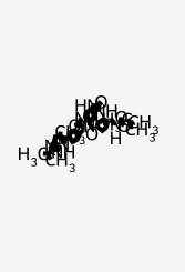 Cc1cc2nc(C(C)C)[nH]c2nc1-c1ccc(C[C@@H](C(N)=O)N(c2ccc3[nH]c(=O)[nH]c3c2)C(=O)[C@H]2CC[C@H](CNC(=O)OC(C)(C)C)CC2)cc1